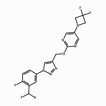 Fc1ccc(-n2cc(COc3ncc(N4CC(F)(F)C4)cn3)nn2)cc1C(F)F